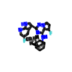 O=C(O)[C@H]1C2CCC(CC2)[C@@H]1Nc1nc(-c2c[nH]c3ncc(F)cc23)nn2ccc(F)c12